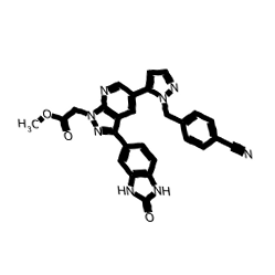 COC(=O)Cn1nc(-c2ccc3[nH]c(=O)[nH]c3c2)c2cc(-c3ccnn3Cc3ccc(C#N)cc3)cnc21